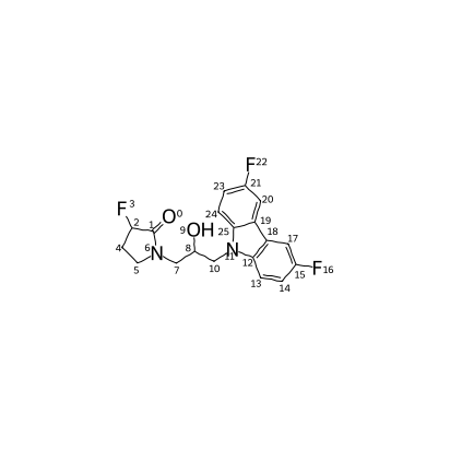 O=C1C(F)CCN1CC(O)Cn1c2ccc(F)cc2c2cc(F)ccc21